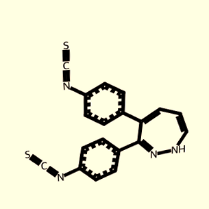 S=C=Nc1ccc(C2=CC=CNN=C2c2ccc(N=C=S)cc2)cc1